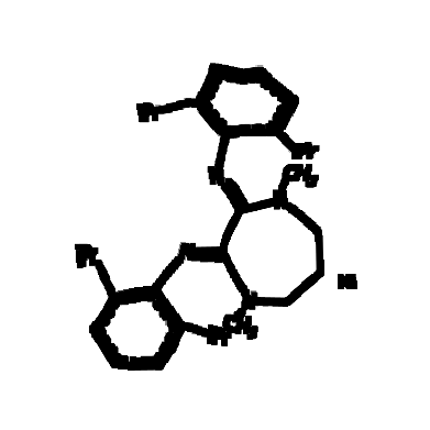 CC(C)c1cccc(C(C)C)c1N=C1C(=Nc2c(C(C)C)cccc2C(C)C)N(C)CCCN1C.[Ni]